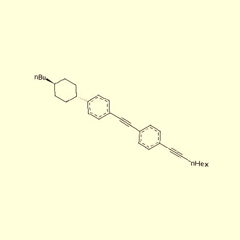 CCCCCCC#Cc1ccc(C#Cc2ccc([C@H]3CC[C@H](CCCC)CC3)cc2)cc1